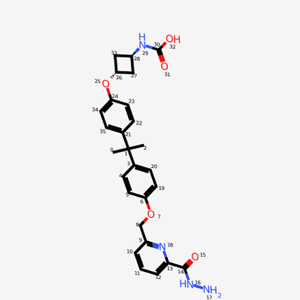 CC(C)(c1ccc(OCc2cccc(C(=O)NN)n2)cc1)c1ccc(O[C@H]2C[C@H](NC(=O)O)C2)cc1